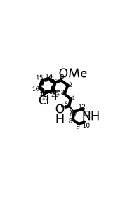 COC(CCCC(O)[C@@H]1CCCNC1)c1cccc(Cl)c1F